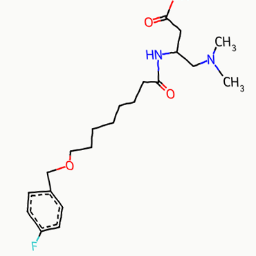 CN(C)CC(CC(=O)O)NC(=O)CCCCCCCOCc1ccc(F)cc1